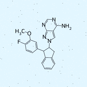 COc1cc(C2c3ccccc3CC2n2cc3c(N)ncnc3n2)ccc1F